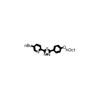 CCCCCCCCOc1ccc(-c2nnc(-c3ccc(CCCC)cn3)s2)cc1